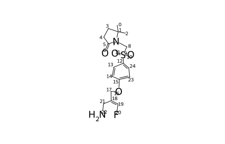 CC1(C)CCC(=O)N1CS(=O)(=O)c1ccc(OCC(=CF)CN)cc1